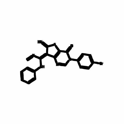 C=N/C(Nc1ccccc1)=C1\C(=N)Sc2c1ncn(-c1ccc(Br)cc1)c2=O